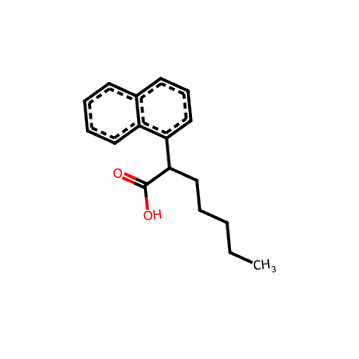 CCCCCC(C(=O)O)c1cccc2ccccc12